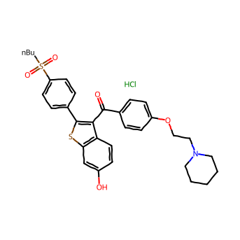 CCCCS(=O)(=O)c1ccc(-c2sc3cc(O)ccc3c2C(=O)c2ccc(OCCN3CCCCC3)cc2)cc1.Cl